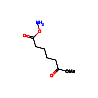 COC(=O)CCCCC(=O)ON